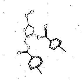 Cc1ccc(C(=O)OC[C@H]2OC(OCl)C[C@@H]2OC(=O)c2ccc(C)cc2)cc1